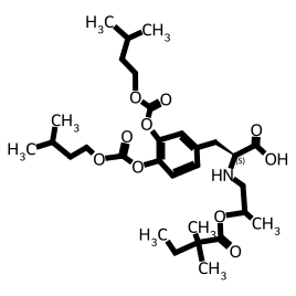 CCC(C)(C)C(=O)OC(C)CN[C@@H](Cc1ccc(OC(=O)OCCC(C)C)c(OC(=O)OCCC(C)C)c1)C(=O)O